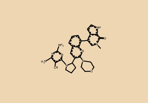 Cn1cc(-c2cccc3cc(C4CCCN4c4nc(N)nc(N)c4C#N)c(N4CCOCC4)nc23)c2cc[nH]c2c1=O